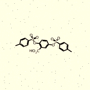 Cc1ccc(S(=O)(=O)Oc2ccc(OS(=O)(=O)c3ccc(C)cc3)c(C(=O)O)c2)cc1